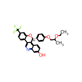 CCOC(C)COc1ccc([C@H]2Oc3cc(C(F)(F)F)ccc3-c3cnc4cc(O)ccc4c32)cc1